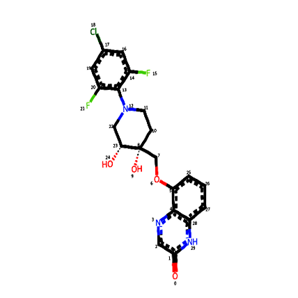 O=c1cnc2c(OC[C@]3(O)CCN(c4c(F)cc(Cl)cc4F)C[C@H]3O)cccc2[nH]1